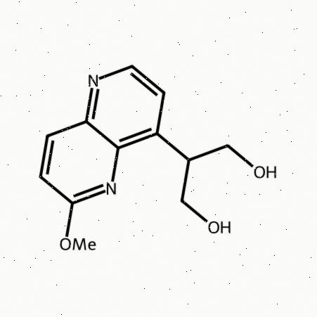 COc1ccc2nccc(C(CO)CO)c2n1